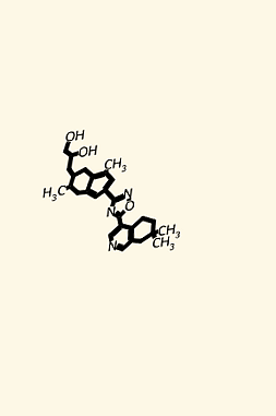 Cc1cc(-c2noc(-c3cncc4c3CCC(C)(C)C4)n2)cc2c1CC(CC(O)CO)C(C)C2